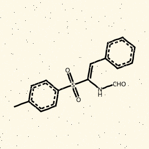 Cc1ccc(S(=O)(=O)/C(=C/c2ccccc2)NC=O)cc1